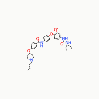 CCCCN1CCC(Oc2ccc(C(=O)Nc3ccc(Oc4ccc(NC(=O)NC(CC)CC)cc4OC)cc3)cc2)CC1